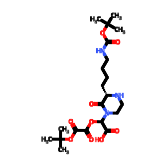 CC(C)(C)OC(=O)NCCCC[C@@H]1NCCN(C(OC(=O)C(=O)OC(C)(C)C)C(=O)O)C1=O